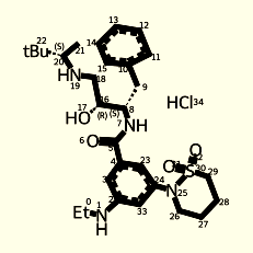 CCNc1cc(C(=O)N[C@@H](Cc2ccccc2)[C@H](O)CN[C@@H](C)C(C)(C)C)cc(N2CCCCS2(=O)=O)c1.Cl